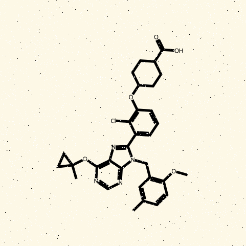 COc1ccc(C)cc1Cn1c(-c2cccc(OC3CCC(C(=O)O)CC3)c2Cl)nc2c(OC3(C)CC3)ncnc21